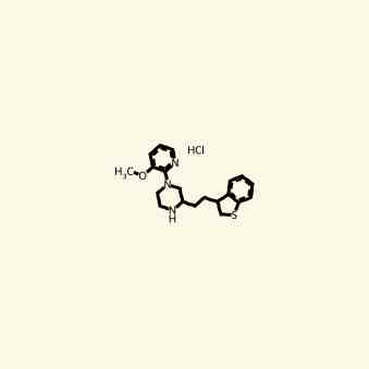 COc1cccnc1N1CCNC(CCC2CSc3ccccc32)C1.Cl